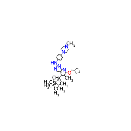 Cc1c(OCC2CCCC2)nc2nc(Nc3ccc(N4CCN(C)CC4)cc3)ncc2c1C#C[Si](C(C)C)(C(C)C)C(C)C